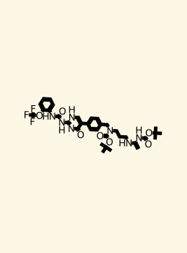 C=C(NCCCN(Cc1ccc(-c2c[nH]c(NC(=O)Nc3ccccc3OC(F)(F)F)nc2=O)cc1)C(=O)OC(C)(C)C)NC(=O)OC(C)(C)C